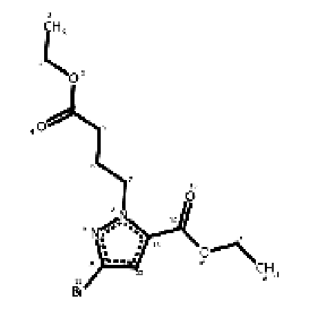 CCOC(=O)CCCn1nc(Br)cc1C(=O)OCC